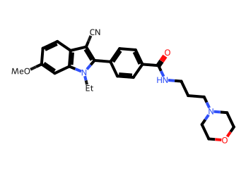 CCn1c(-c2ccc(C(=O)NCCCN3CCOCC3)cc2)c(C#N)c2ccc(OC)cc21